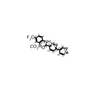 O=C(Nc1ccc(C(F)(F)F)cc1C(=O)O)c1ccc(-c2ccnnc2)nn1